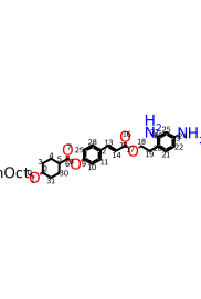 CCCCCCCCOC1CCC(C(=O)Oc2ccc(/C=C/C(=O)OCCc3ccc(N)cc3N)cc2)CC1